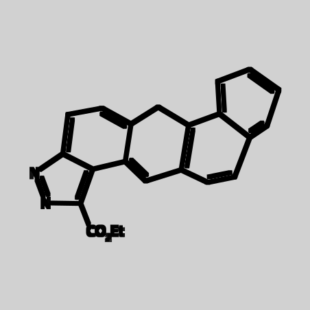 CCOC(=O)C1=c2c(ccc3c2=Cc2ccc4ccccc4c2C3)N=N1